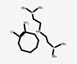 CC(C)(C)P(CCNCCP(C(C)(C)C)C(C)(C)C)C(C)(C)C.Cl/C1=[C](\[IrH2])CCCCCC1